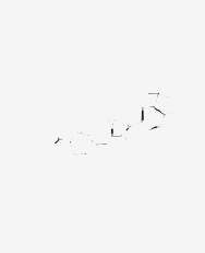 COC(=O)[C@H]1CCN(Cc2noc(-c3ccc(F)c(C(F)(F)F)c3)n2)[C@@H](C)C1